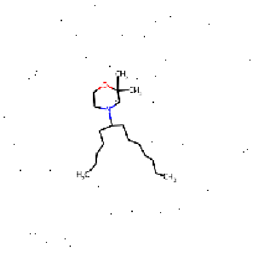 CCCCCCCC(CCCCC)N1CCOC(C)(C)C1